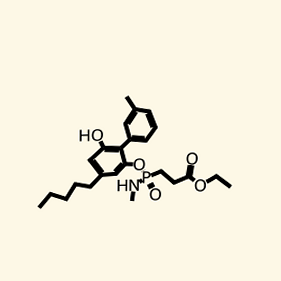 CCCCCc1cc(O)c(-c2cccc(C)c2)c(OP(=O)(CCC(=O)OCC)NC)c1